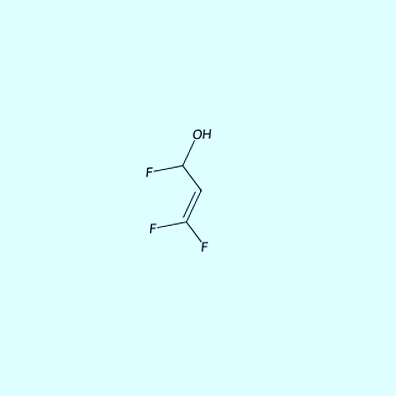 OC(F)C=C(F)F